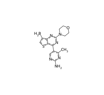 Bc1csc2c(-c3cnc(N)nc3C)nc(N3CCOCC3)nc12